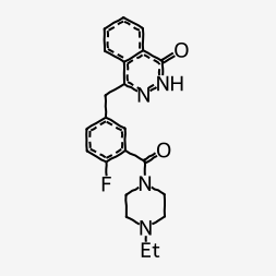 CCN1CCN(C(=O)c2cc(Cc3n[nH]c(=O)c4ccccc34)ccc2F)CC1